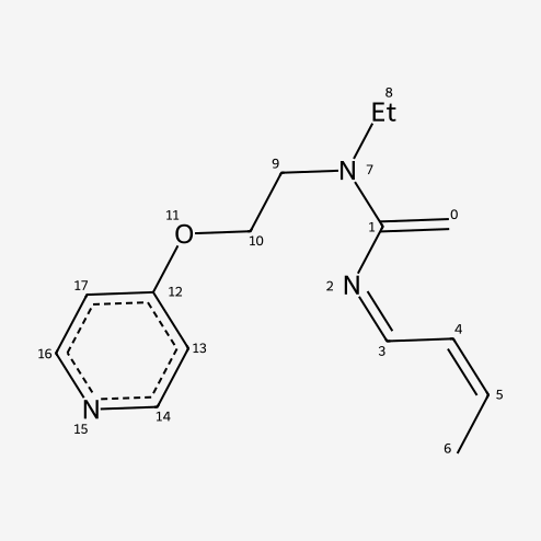 C=C(/N=C\C=C/C)N(CC)CCOc1ccncc1